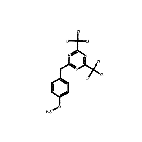 COc1ccc(Cc2nc(C(Cl)(Cl)Cl)nc(C(Cl)(Cl)Cl)n2)cc1